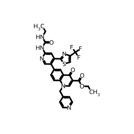 CCNC(=O)Nc1cc(-c2nc(C(F)(F)F)cs2)c(-c2ccc3c(c2)c(=O)c(C(=O)OCC)cn3Cc2ccncc2)cn1